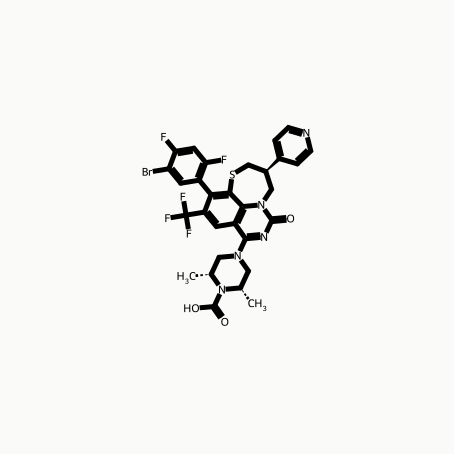 C[C@@H]1CN(c2nc(=O)n3c4c(c(-c5cc(Br)c(F)cc5F)c(C(F)(F)F)cc24)SC[C@@H](c2ccncc2)C3)C[C@H](C)N1C(=O)O